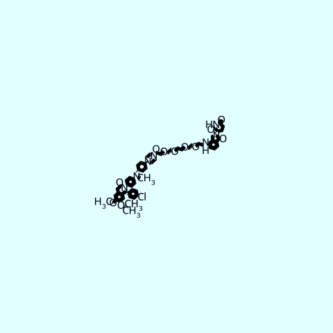 COc1cc2c(cc1OC(C)C)[C@H](c1ccc(Cl)cc1)N(c1ccc(N(C)C[C@H]3CC[C@H](N4CCN(C(=O)COCCOCCOCCOCCNc5cccc6c5CN(C5CCC(=O)NC5=O)C6=O)CC4)CC3)cc1)C(=O)C2